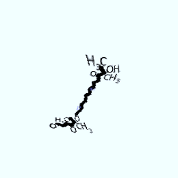 CCC(C)(O)C(=O)CC/C=C/CCC/C=C/COC(C)(CC)C(=O)C=CC=O